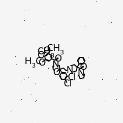 COc1cc(C(=O)N2CCOC(CCN3CCC(C(=O)N4CCCC4)(c4ccccc4)CC3)(c3ccc(Cl)c(Cl)c3)C2)cc(OC)c1OC